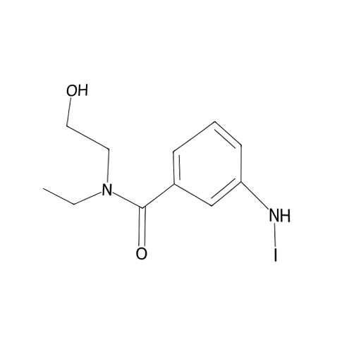 CCN(CCO)C(=O)c1cccc(NI)c1